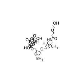 B[C@H]1C[C@@H](OCSSC(C)(C)CNC(=O)CCOCCO)C(COP(=O)(O)OP(=O)(O)OP(=O)(O)O)O1